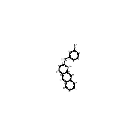 Fc1cccc(Nc2cnc3cc4ccccc4cc3n2)c1